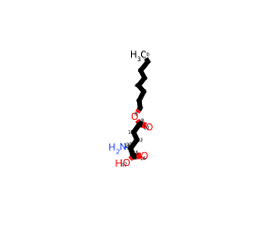 CCCCCCCCOC(=O)CC[C@@H](N)C(=O)O